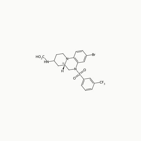 O=C(O)NC1CCN2c3ccc(Br)cc3N(S(=O)(=O)c3cccc(C(F)(F)F)c3)C[C@@H]2C1